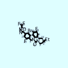 CCN1CCN(C(=O)N(Cc2ccc(-c3nnc(C(F)F)o3)cc2F)c2ccc(F)c(Br)c2)CC1